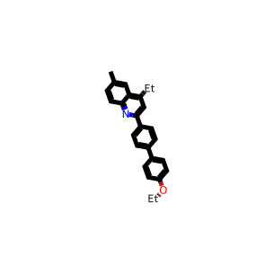 CCOc1ccc(-c2ccc(-c3cc(CC)c4cc(C)ccc4n3)cc2)cc1